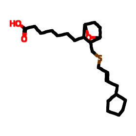 O=C(O)CCCCCCC1C2CCC(O2)C1CSC/C=C/CC1CCCCC1